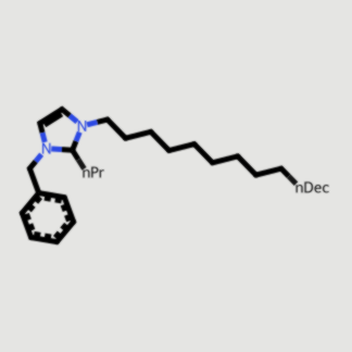 CCCCCCCCCCCCCCCCCCCN1C=CN(Cc2ccccc2)C1CCC